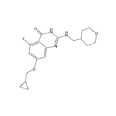 O=c1[nH]c(NCC2CCOCC2)nc2cc(OCC3CC3)cc(F)c12